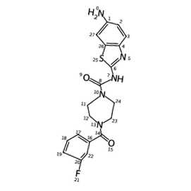 Nc1ccc2nc(NC(=O)N3CCN(C(=O)c4cccc(F)c4)CC3)sc2c1